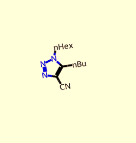 CCCCCCn1nnc(C#N)c1CCCC